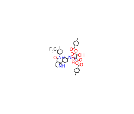 Cc1ccc(C(=O)OC(=O)[C@H](O)[C@@H](O)C(=O)OC(=O)c2ccc(C)cc2)cc1.Cc1ccc(NC(=O)[C@H]2CCCN[C@H]2c2ccc(N)cc2)cc1C(F)(F)F